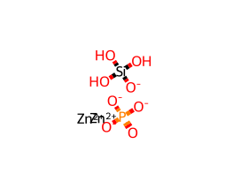 O=P([O-])([O-])[O-].[O-][Si](O)(O)O.[Zn+2].[Zn+2]